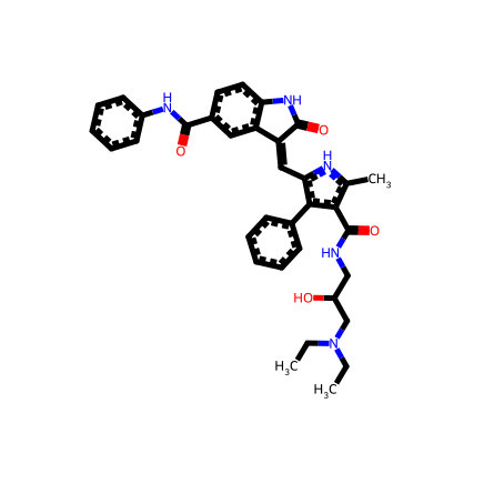 CCN(CC)CC(O)CNC(=O)c1c(C)[nH]c(C=C2C(=O)Nc3ccc(C(=O)Nc4ccccc4)cc32)c1-c1ccccc1